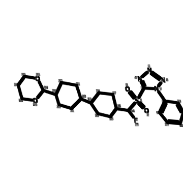 O=S(=O)(c1nnnn1-c1ccccc1)C(F)C1CCC(C2CCC(C3OCCCO3)CC2)CC1